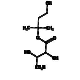 CC(C)(CCO)OC(=O)C(O)C(O)C(=O)O